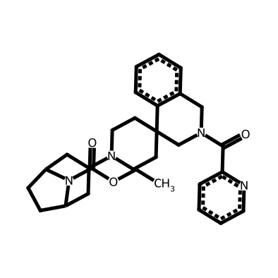 CCOC(=O)N1C2CCC1CC(N1CCC3(CC1)CN(C(=O)c1ccccn1)Cc1ccccc13)C2